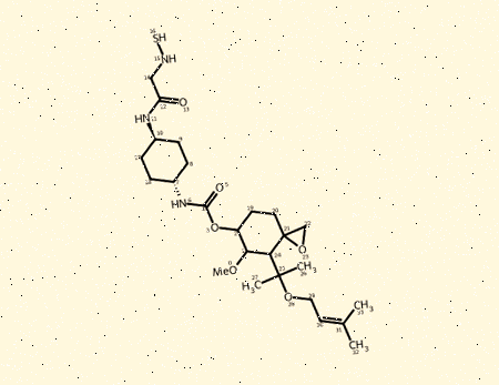 COC1C(OC(=O)N[C@H]2CC[C@H](NC(=O)CNS)CC2)CCC2(CO2)C1C(C)(C)OCC=C(C)C